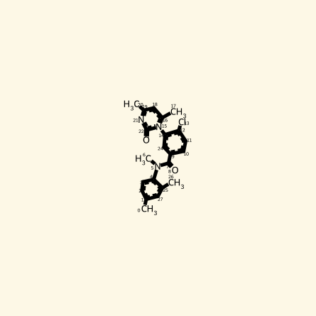 Cc1ccc(N(C)C(=O)c2ccc(Cl)c(-n3c(C)cc(C)nc3=O)c2)c(C)c1